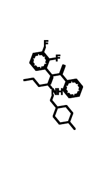 C=C(/C(=C(/CCC)NCC1CCC(C)CC1)c1cccc(F)c1F)c1ccccc1